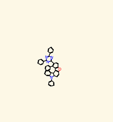 C1=CC2C(c3ccccc3N2c2ccccc2)c2c1oc1ccc(-c3nc(-c4ccccc4)nc(-c4ccccc4)n3)c(-c3ccccc3)c21